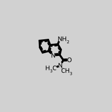 CN(C)C(=O)c1cc(N)c2ccccc2n1